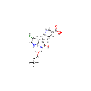 C[Si](C)(C)CCOCN1C(=O)[C@]2(Cc3cc(C(=O)O)cnc3C2)c2cc(F)cnc21